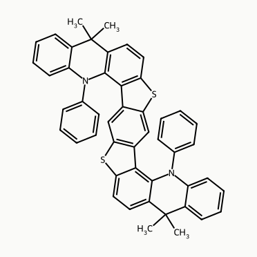 CC1(C)c2ccccc2N(c2ccccc2)c2c1ccc1sc3cc4c(cc3c21)sc1ccc2c(c14)N(c1ccccc1)c1ccccc1C2(C)C